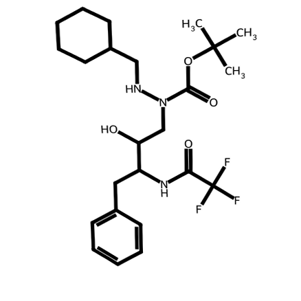 CC(C)(C)OC(=O)N(CC(O)C(Cc1ccccc1)NC(=O)C(F)(F)F)NCC1CCCCC1